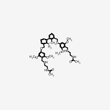 COc1cc(OCc2cccc(-c3cccc(COc4cc(OC)c(CNCCNC(C)=O)c(OC)c4)c3C)c2C)cc(OC)c1CNCCNC(C)=O